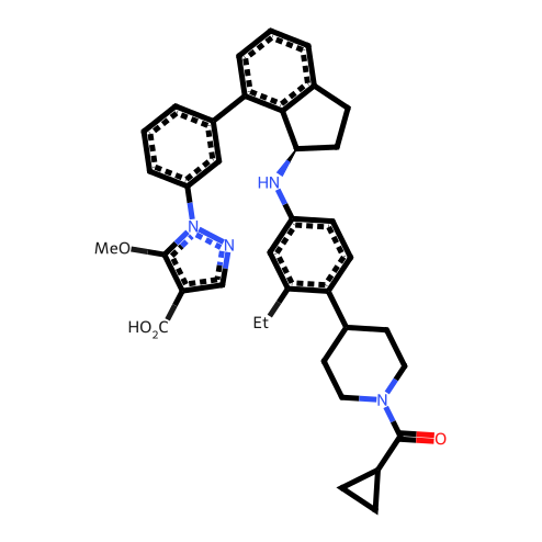 CCc1cc(N[C@@H]2CCc3cccc(-c4cccc(-n5ncc(C(=O)O)c5OC)c4)c32)ccc1C1CCN(C(=O)C2CC2)CC1